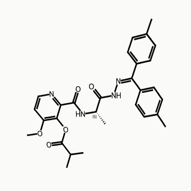 COc1ccnc(C(=O)N[C@@H](C)C(=O)NN=C(c2ccc(C)cc2)c2ccc(C)cc2)c1OC(=O)C(C)C